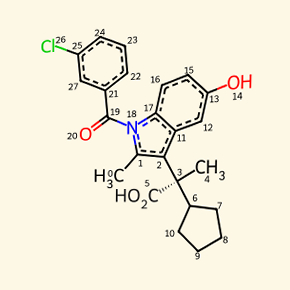 Cc1c([C@](C)(C(=O)O)C2CCCC2)c2cc(O)ccc2n1C(=O)c1cccc(Cl)c1